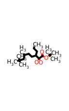 CCCC(CCC(C)CC(C)(C)C)C1(C(=O)OC(C)(C)C)OO1